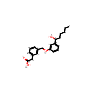 CCCCCC(O)c1cccc(OCc2cccc(CC(=O)O)c2)c1